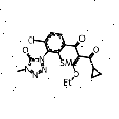 CCOC=C(C(=O)c1ccc(Cl)c(-n2nnn(C)c2=O)c1SC)C(=O)C1CC1